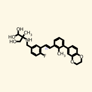 Cc1c(/C=C/c2cc(CNC(C)(CO)C(O)O)ccc2F)cccc1-c1ccc2c(c1)OCCO2